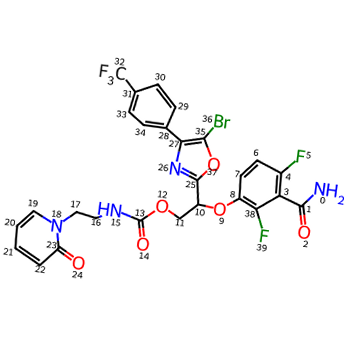 NC(=O)c1c(F)ccc(OC(COC(=O)NCCn2ccccc2=O)c2nc(-c3ccc(C(F)(F)F)cc3)c(Br)o2)c1F